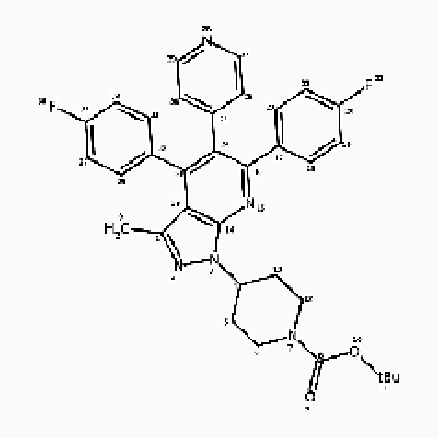 Cc1nn(C2CCN(C(=O)OC(C)(C)C)CC2)c2nc(-c3ccc(F)cc3)c(-c3ccncc3)c(-c3ccc(F)cc3)c12